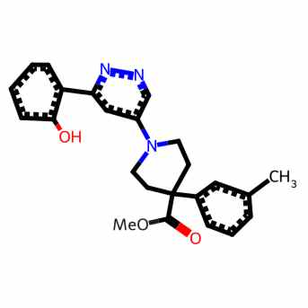 COC(=O)C1(c2cccc(C)c2)CCN(c2cnnc(-c3ccccc3O)c2)CC1